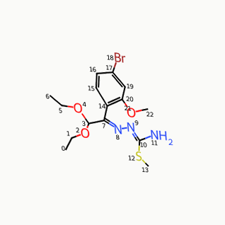 CCOC(OCC)/C(=N/N=C(/N)SC)c1ccc(Br)cc1OC